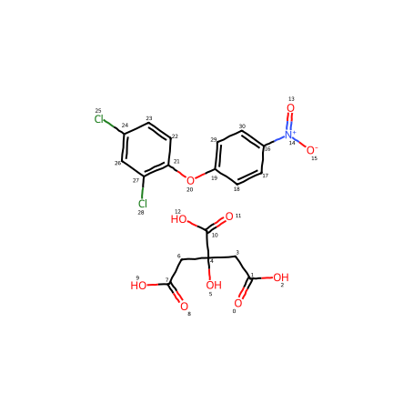 O=C(O)CC(O)(CC(=O)O)C(=O)O.O=[N+]([O-])c1ccc(Oc2ccc(Cl)cc2Cl)cc1